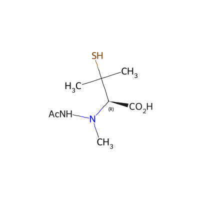 CC(=O)NN(C)[C@H](C(=O)O)C(C)(C)S